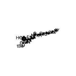 CCc1c(-c2ccc(C(=O)NCCOCCOCCOCCN=[N+]=[N-])nc2)cnc(CNC(=O)OC(C)(C)C)c1-c1ccc(O)cc1